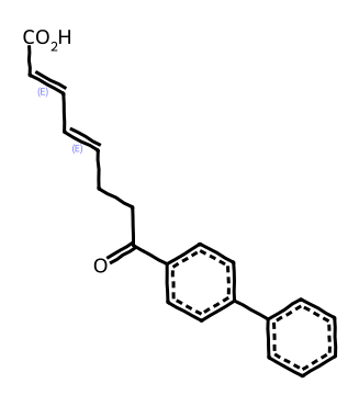 O=C(O)/C=C/C=C/CCC(=O)c1ccc(-c2ccccc2)cc1